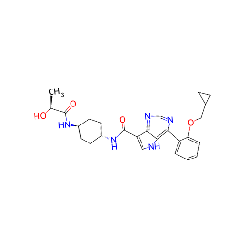 C[C@H](O)C(=O)N[C@H]1CC[C@H](NC(=O)c2c[nH]c3c(-c4ccccc4OCC4CC4)ncnc23)CC1